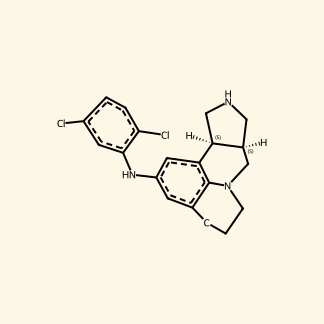 Clc1ccc(Cl)c(Nc2cc3c4c(c2)[C@H]2CNC[C@H]2CN4CCC3)c1